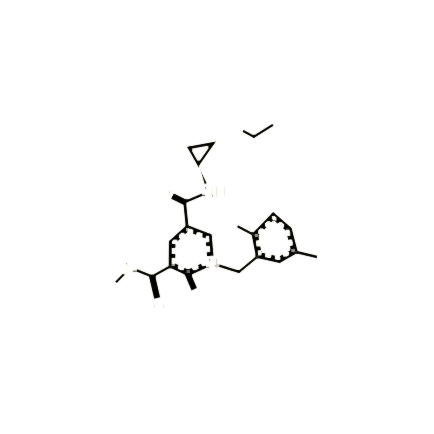 CCO[C@H]1C[C@@H]1NC(=O)c1cc(C(=O)NC)c(=O)n(Cc2cc(C)ccc2F)c1